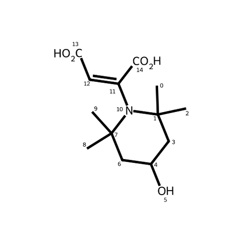 CC1(C)CC(O)CC(C)(C)N1C(=CC(=O)O)C(=O)O